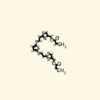 C=CC(=O)OCC1CSC(CCSc2ccc(SCCC3SCC(COC(=O)C=C)S3)s2)S1